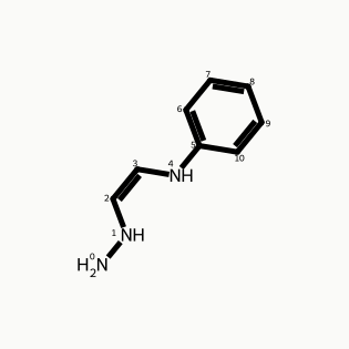 NN/C=C\Nc1ccccc1